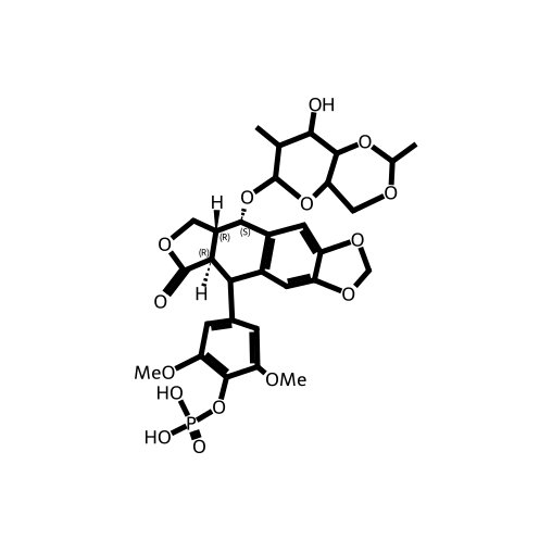 COc1cc(C2c3cc4c(cc3[C@@H](OC3OC5COC(C)OC5C(O)C3C)[C@H]3COC(=O)[C@H]23)OCO4)cc(OC)c1OP(=O)(O)O